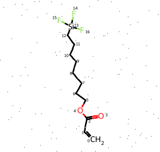 C=CC(=O)OCCCCCCCC[Si](F)(F)F